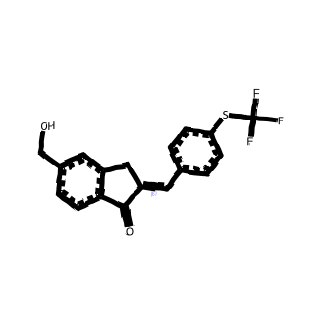 O=C1/C(=C/c2ccc(SC(F)(F)F)cc2)Cc2cc(CO)ccc21